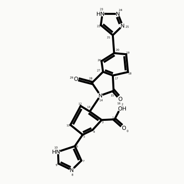 O=C(O)c1cc(-c2cnc[nH]2)ccc1N1C(=O)c2ccc(-c3c[nH]nn3)cc2C1=O